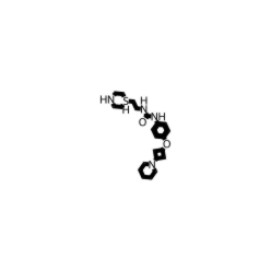 O=C(NCC[SH]1CCNCC1)Nc1ccc(OC2CC(N3CCCCC3)C2)cc1